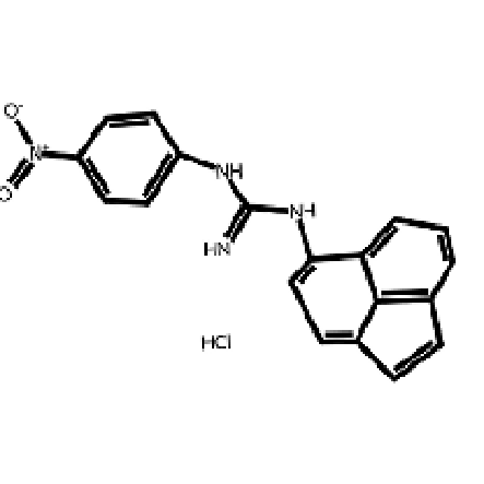 Cl.N=C(Nc1ccc([N+](=O)[O-])cc1)Nc1ccc2c3c(cccc13)C=C2